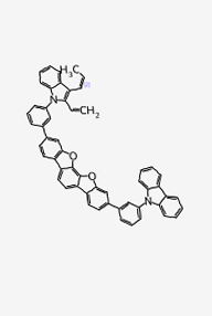 C=Cc1c(/C=C\C)c2ccccc2n1-c1cccc(-c2ccc3c(c2)oc2c3ccc3c4ccc(-c5cccc(-n6c7ccccc7c7ccccc76)c5)cc4oc32)c1